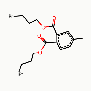 Cc1ccc(C(=O)OCCCC(C)C)c(C(=O)OCCCC(C)C)c1